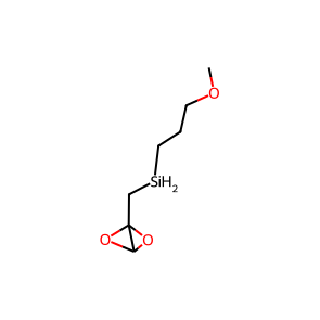 COCCC[SiH2]CC12OC1O2